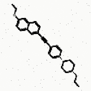 CCC[C@H]1CC[C@H](c2ccc(C#Cc3ccc4cc(OCC)ccc4c3)cc2)CC1